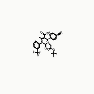 CC1=C(C(=O)O)[C@@H](c2ccc(C#N)cc2)N(CC(=O)OC(C)(C)C)C(=O)N1c1cccc(C(F)(F)F)c1